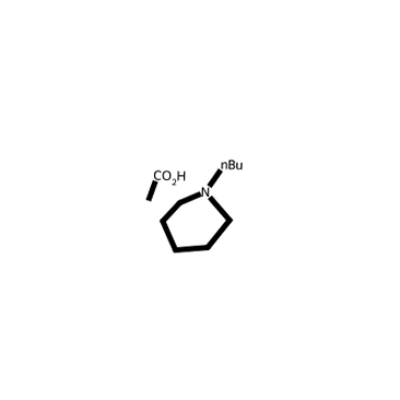 CC(=O)O.CCCCN1CCCCC1